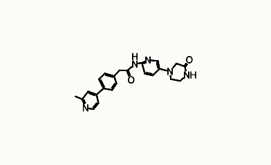 Cc1cc(-c2ccc(CC(=O)Nc3ccc(N4CCNC(=O)C4)cn3)cc2)ccn1